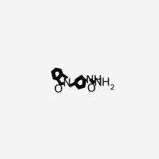 NC(=O)Nc1ccc(CN2Cc3ccccc3C2=O)cc1